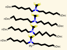 CCCCCCCCCCCCCCCCN(CCCCCCCCCCCCCCCC)C(=S)[S-].CCCCCCCCCCCCCCCCN(CCCCCCCCCCCCCCCC)C(=S)[S-].CCCCCCCCCCCCCCCCN(CCCCCCCCCCCCCCCC)C(=S)[S-].CCCCCCCCCCCCCCCCN(CCCCCCCCCCCCCCCC)C(=S)[S-].[Pb+4]